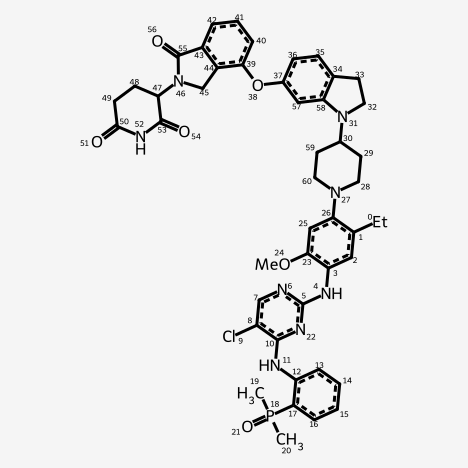 CCc1cc(Nc2ncc(Cl)c(Nc3ccccc3P(C)(C)=O)n2)c(OC)cc1N1CCC(N2CCc3ccc(Oc4cccc5c4CN(C4CCC(=O)NC4=O)C5=O)cc32)CC1